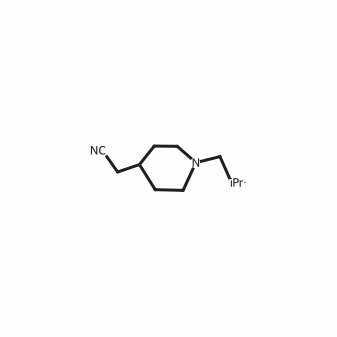 C[C](C)CN1CCC(CC#N)CC1